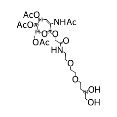 CC(=O)NC1=C[C@@H](OC(C)=O)[C@@H](OC(C)=O)[C@@H](COC(C)=O)O[C@H]1OCC(=O)NCCOCCOCC[C@H](O)CO